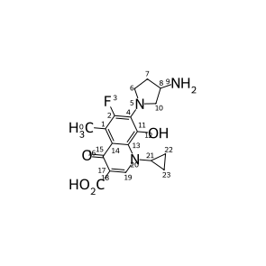 Cc1c(F)c(N2CCC(N)C2)c(O)c2c1c(=O)c(C(=O)O)cn2C1CC1